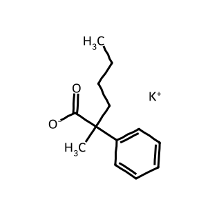 CCCCC(C)(C(=O)[O-])c1ccccc1.[K+]